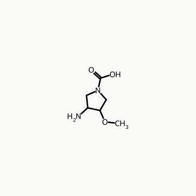 COC1CN(C(=O)O)CC1N